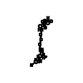 N#Cc1cnc2c(cnn2-c2cc(NC3CC3)c(-c3cn(CCOCCOCCOCCNc4cccc5c4C(=O)N(C4CCC(=O)NC4=O)C5O)nn3)cn2)c1